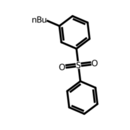 CCCCc1cccc(S(=O)(=O)c2ccccc2)c1